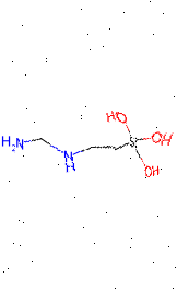 NCNCC[Si](O)(O)O